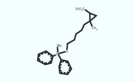 CCOC(=O)C1CC1(C)CCCCCO[Si](c1ccccc1)(c1ccccc1)C(C)(C)C